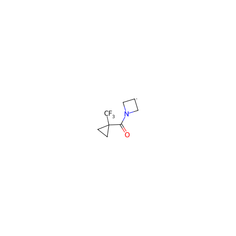 O=C(N1C[CH]C1)C1(C(F)(F)F)CC1